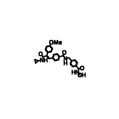 COc1ccc(/C(=C\c2ccc(C(=O)NCc3ccc(C(=O)NO)cc3)cc2)C(=O)NC2CC2)cc1